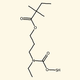 CCN(CCCOC(=O)C(C)(C)CC)C(=O)OS